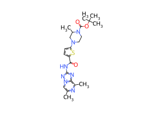 Cc1cn2nc(NC(=O)c3ccc(N4CCN(C(=O)OC(C)(C)C)C(C)C4)s3)nc2c(C)n1